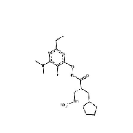 CN(C)c1nc(CF)nc(NNC(=O)[C@@H](CNC(=O)O)CC2CCCC2)c1F